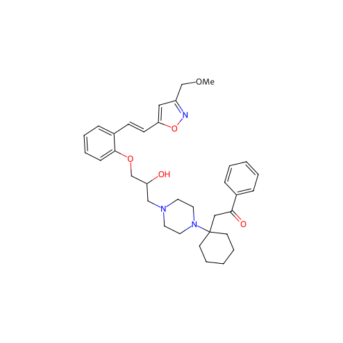 COCc1cc(C=Cc2ccccc2OCC(O)CN2CCN(C3(CC(=O)c4ccccc4)CCCCC3)CC2)on1